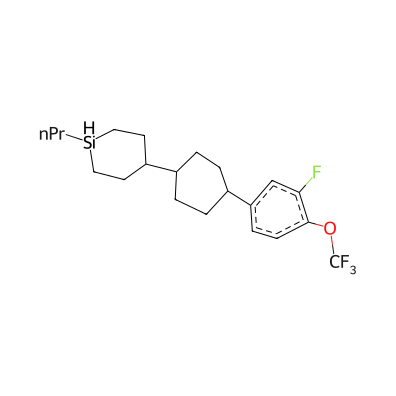 CCC[SiH]1CCC(C2CCC(c3ccc(OC(F)(F)F)c(F)c3)CC2)CC1